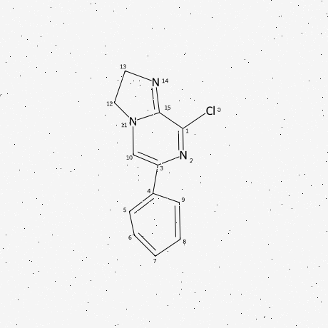 ClC1=NC(c2ccccc2)=CN2CCN=C12